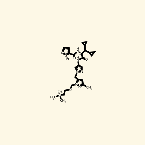 Cc1cc(Cn2cc(NC(=O)[C@@H](NC(=O)c3ccnn3C(C)C)C(C3CC3)C3CC3)cn2)n(COCC[Si](C)(C)C)n1